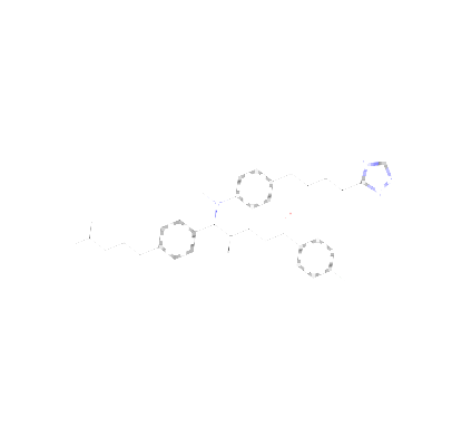 CN(c1ccc(CCCCc2nc[nH]n2)cc1)[C@H](c1ccc(CCCC(C(=O)O)C(=O)O)cc1)[C@H](C=O)CC[C@H](O)c1ccc(F)cc1